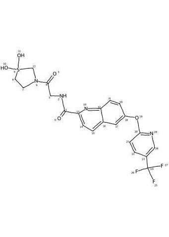 O=C(NCC(=O)N1CCS(O)(O)C1)c1ccc2cc(Oc3ccc(C(F)(F)F)cn3)ccc2n1